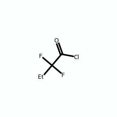 CCC(F)(F)C(=O)Cl